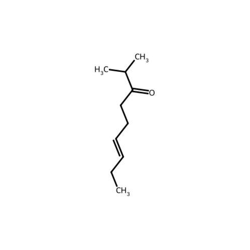 CCC=CCCC(=O)C(C)C